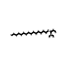 CCCCCCCCCCCCCCCC[C@H](CC)N(C)C